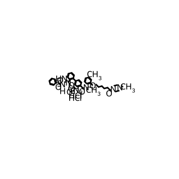 COc1c(-c2cccc3[nH]c(NS(=O)(=O)c4ccccc4)nc23)ccc(C(=O)N(C)c2ccc(C)cc2OCCCCCC(=O)N2CCN(C)CC2)c1N=C=O.Cl.Cl